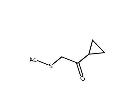 CC(=O)SCC(=O)C1CC1